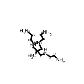 CC(CNCCN)(CNCCN)CNCCN